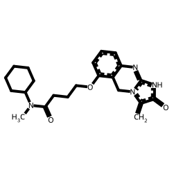 C=c1c(=O)[nH]c2n1Cc1c(cccc1OCCCC(=O)N(C)C1CCCCC1)N=2